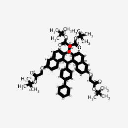 CC(C)(C)OC(=O)COc1ccc2c(C(c3ccc(-c4ccccc4)cc3)c3c(OCC(=O)OC(C)(C)C)ccc4cc(OCC(=O)OC(C)(C)C)ccc34)c(OCC(=O)OC(C)(C)C)ccc2c1